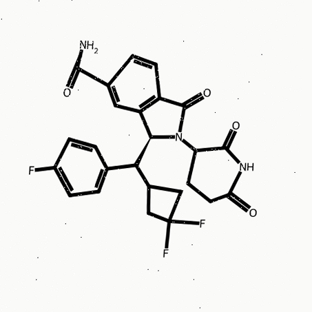 NC(=O)c1ccc2c(c1)[C@H](C(c1ccc(F)cc1)C1CC(F)(F)C1)N(C1CCC(=O)NC1=O)C2=O